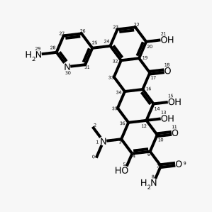 CN(C)C1C(O)=C(C(N)=O)C(=O)C2(O)C(O)=C3C(=O)c4c(O)ccc(-c5ccc(N)nc5)c4CC3CC12